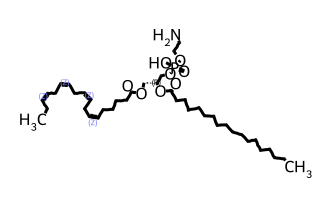 CC/C=C\C/C=C\C/C=C\C/C=C\CCCCC(=O)OC[C@H](COP(=O)(O)OCCN)OC(=O)CCCCCCCCCCCCCCCCC